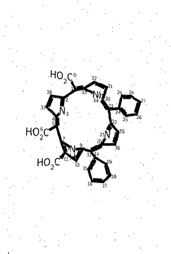 O=C(O)c1c2nc(c(C(=O)O)c3[nH]c(cc3C(=O)O)c(-c3ccccc3)c3nc(c(-c4ccccc4)c4ccc1[nH]4)C=C3)C=C2